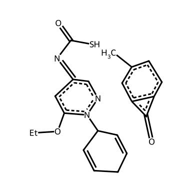 CCOc1cc(=NC(=O)S)cnn1C1C=CCC=C1.Cc1ccc2c(=O)c2c1